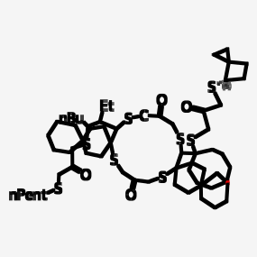 CCCCCSCC(=O)CSC(CCCC)C(CC)C1SCC(=O)CSC(C2(SCC(=O)CS[C@H]3CCC34CC4)CCCCCCC2)C2(CCC3(CCCCC3)CC2)SCC(=O)CSC12CCC1(CCCCC1)CC2